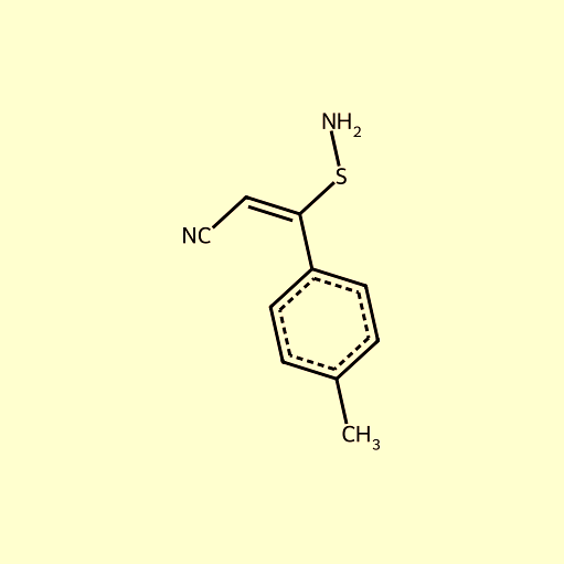 Cc1ccc(/C(=C\C#N)SN)cc1